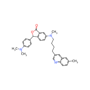 Cc1ccc2ncc(CCCCN(C)c3ccc4c(c3)C(=O)OC4c3ccc(N(C)C)cc3)cc2c1